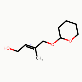 C/C(=C\CO)COC1CCCCO1